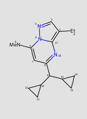 CCc1cnn2c(NC)cc(C(C3CC3)C3CC3)nc12